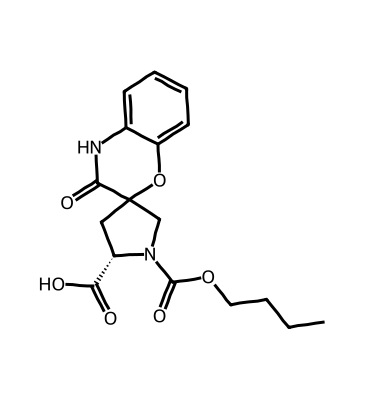 CCCCOC(=O)N1CC2(C[C@H]1C(=O)O)Oc1ccccc1NC2=O